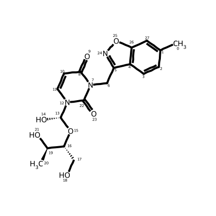 Cc1ccc2c(Cn3c(=O)ccn([C@@H](O)O[C@H](CO)[C@@H](C)O)c3=O)noc2c1